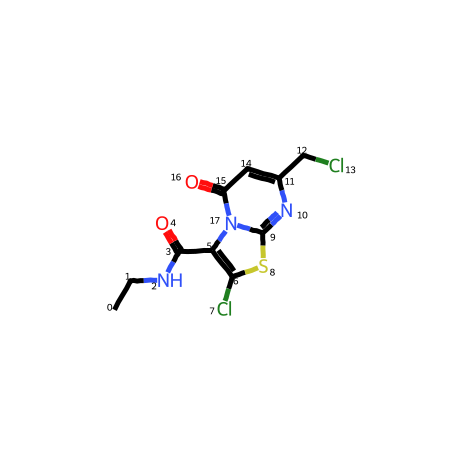 CCNC(=O)c1c(Cl)sc2nc(CCl)cc(=O)n12